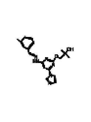 Cc1cccc(/C=N/Nc2cc(-n3ccnc3)nc(OCC(C)(C)O)n2)c1